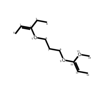 CC=C(CC)OCCCOC(=CC)OC